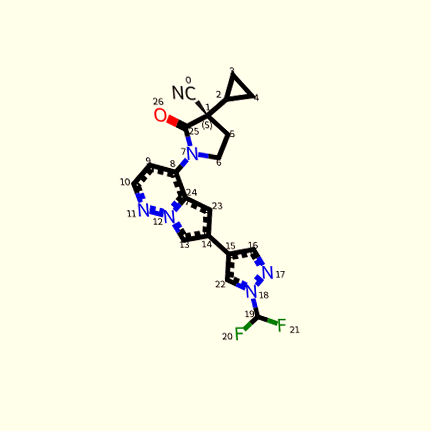 N#C[C@@]1(C2CC2)CCN(c2ccnn3cc(-c4cnn(C(F)F)c4)cc23)C1=O